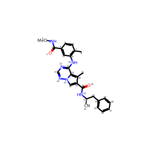 CONC(=O)c1ccc(C)c(Nc2ncnn3cc(C(=O)N[C@H](C#N)Cc4ccccc4)c(C)c23)c1